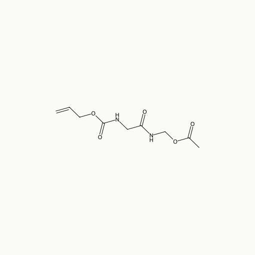 C=CCOC(=O)NCC(=O)NCOC(C)=O